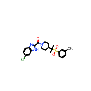 CC(C)(C1CCN(C(=O)c2nc3ccc(Cl)cc3[nH]2)CC1)S(=O)(=O)c1cccc(C(F)(F)F)c1